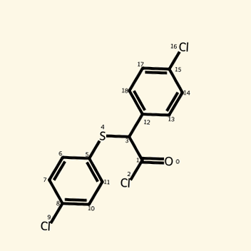 O=C(Cl)C(Sc1ccc(Cl)cc1)c1ccc(Cl)cc1